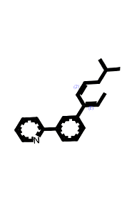 C/C=C(\C=C/CC(C)C)c1cccc(-c2ccccn2)c1